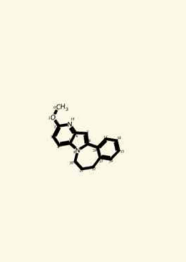 COc1ccc2c(cc3n2CCCc2ccccc2-3)n1